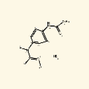 CN=C(C)N(C)c1ccc(NC(=O)OCC(C)C)cc1.Cl